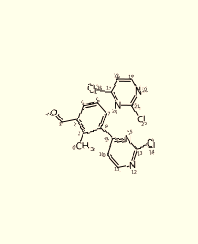 Cc1c(C=O)cccc1-c1ccnc(Cl)n1.Clc1ccnc(Cl)n1